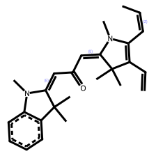 C=CC1=C(/C=C\C)N(C)/C(=C/C(=O)/C=C2/N(C)c3ccccc3C2(C)C)C1(C)C